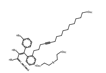 CCCCCCCCCCCCCCCCCCCCC#CCCCc1ccccc1C(=C(CCCC)C(=C=[N+]=[N-])CCCC)c1cccc(CCCC)c1.CCCCCCCCCCC[CH2][Ni][CH2]CCCCCCCCCCC